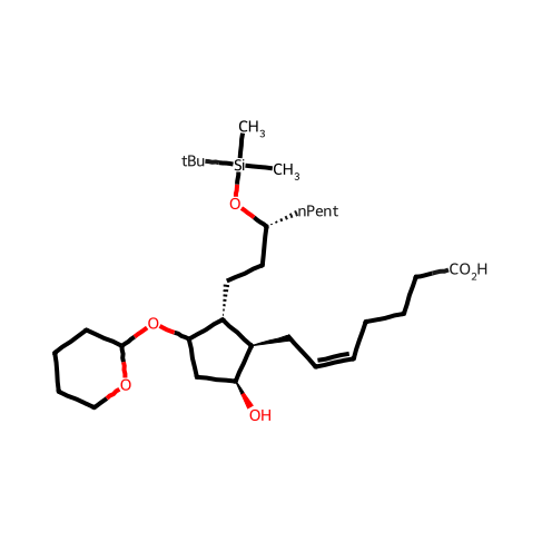 CCCCC[C@H](CC[C@H]1C(OC2CCCCO2)C[C@H](O)[C@@H]1C/C=C\CCCC(=O)O)O[Si](C)(C)C(C)(C)C